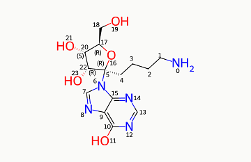 NCCCC[C@@]1(n2cnc3c(O)ncnc32)O[C@H](CO)[C@@H](O)[C@H]1O